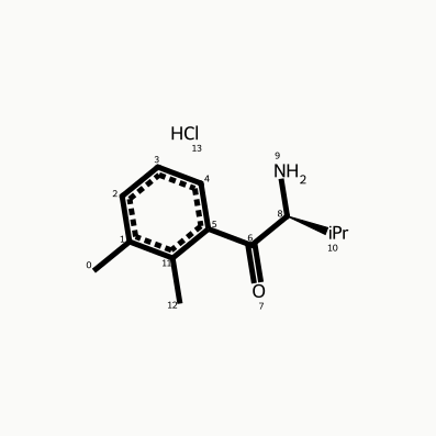 Cc1cccc(C(=O)[C@@H](N)C(C)C)c1C.Cl